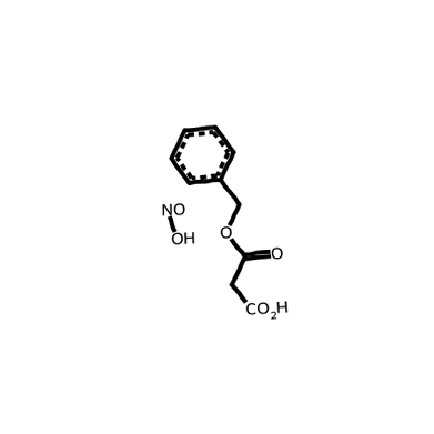 O=C(O)CC(=O)OCc1ccccc1.O=NO